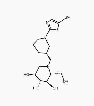 CC(C)c1cnc(N2CCC[C@H](CN3C[C@H](O)[C@@H](O)[C@H](O)[C@H]3CO)C2)s1